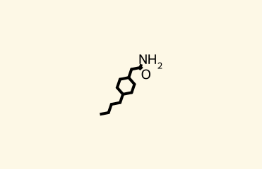 CCCCC1CCC(CC(N)=O)CC1